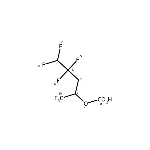 O=C(O)OC(CC(F)(F)C(F)F)C(F)(F)F